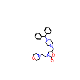 O=C1OC(CN2CCN(C(c3ccccc3)c3ccccc3)CC2)CN1CCN1CCOCC1